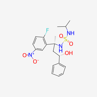 CC(C)NS(=O)(=O)N[C@@](C)(C[C@H](O)c1ccccc1)c1cc([N+](=O)[O-])ccc1F